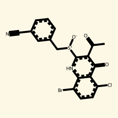 CC(=O)c1c([S+]([O-])Cc2cccc(C#N)c2)[nH]c2c(Br)ccc(Cl)c2c1=O